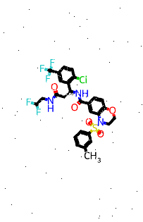 Cc1cccc(S(=O)(=O)N2CCOc3ccc(C(=O)N[C@@H](CC(=O)NCC(F)F)c4cc(C(F)(F)F)ccc4Cl)cc32)c1